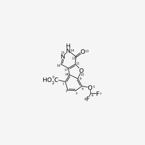 O=C(O)c1ccc(OC(F)F)c2oc3c(=O)[nH]ncc3c12